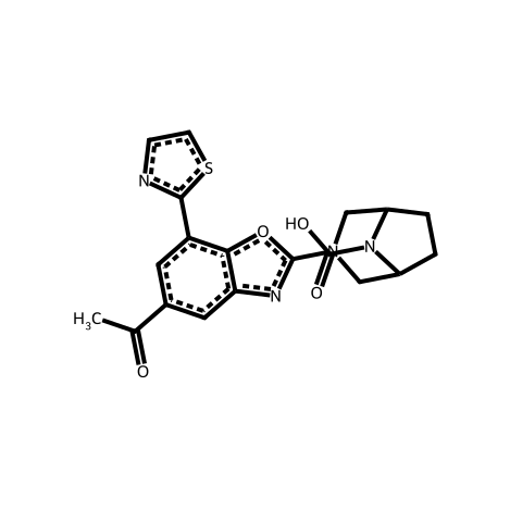 CC(=O)c1cc(-c2nccs2)c2oc(N3CC4CCC(C3)N4C(=O)O)nc2c1